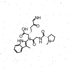 Cc1c(N(C(=O)CNC(=O)[C@@H]2CCCN2C)[C@@H](CCC(=O)C=N)C(=O)O)[nH]c2ccccc12